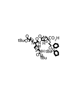 CC(C)(C)OC(=O)Nc1nc(/C(=N/OC(C)(C)C(=O)OC(C)(C)C)C(=O)N[C@@H]2C(=O)N3C[C@](SCCO[Si](c4ccccc4)(c4ccccc4)C(C)(C)C)(C(=O)O)S[C@H]23)cs1